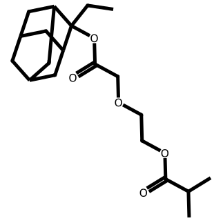 CCC1(OC(=O)COCCOC(=O)C(C)C)C2CC3CC(C2)CC1C3